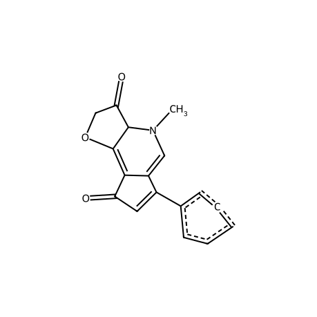 CN1C=C2C(c3ccccc3)=CC(=O)C2=C2OCC(=O)C21